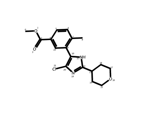 COC(=O)c1ccc(C)c(-c2[nH]c(C3CCOCC3)nc2Cl)c1